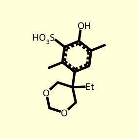 CCC1(c2cc(C)c(O)c(S(=O)(=O)O)c2C)COCOC1